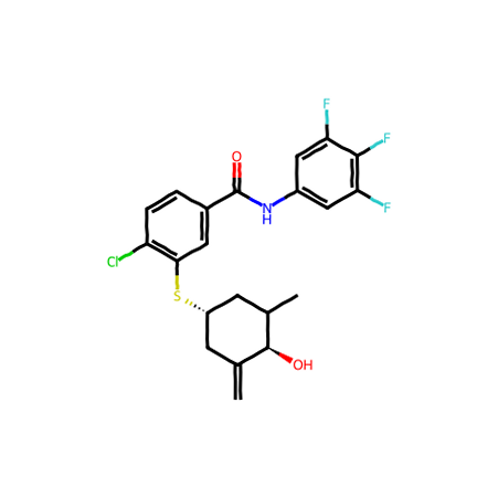 C=C1C[C@H](Sc2cc(C(=O)Nc3cc(F)c(F)c(F)c3)ccc2Cl)CC(C)[C@H]1O